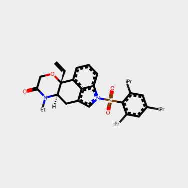 C=C[C@]12OCC(=O)N(CC)[C@@H]1Cc1cn(S(=O)(=O)c3c(C(C)C)cc(C(C)C)cc3C(C)C)c3cccc2c13